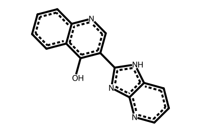 Oc1c(-c2nc3ncccc3[nH]2)cnc2ccccc12